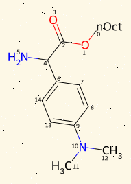 CCCCCCCCOC(=O)C(N)c1ccc(N(C)C)cc1